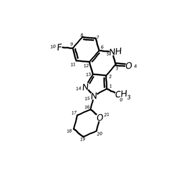 Cc1c2c(=O)[nH]c3ccc(F)cc3c2nn1C1CCCCO1